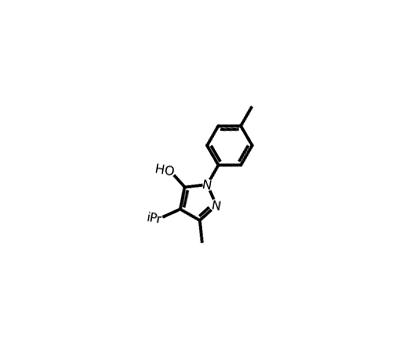 Cc1ccc(-n2nc(C)c(C(C)C)c2O)cc1